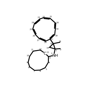 CC1(NC2CCCCCCCCCC2)CC1(C)C1=C/C=C\C=C/C=C\C=C/C=C\1